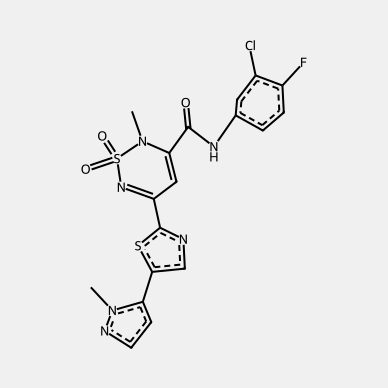 CN1C(C(=O)Nc2ccc(F)c(Cl)c2)=CC(c2ncc(-c3ccnn3C)s2)=NS1(=O)=O